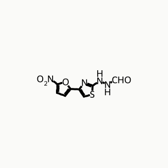 O=CNNc1nc(-c2ccc([N+](=O)[O-])o2)cs1